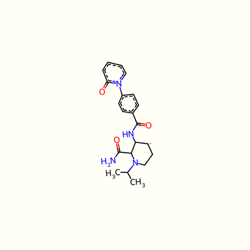 CC(C)N1CC[CH]C(NC(=O)c2ccc(-n3ccccc3=O)cc2)C1C(N)=O